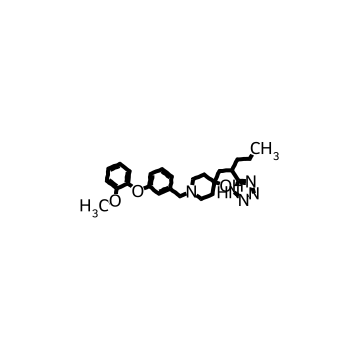 CCCC(CC1(O)CCN(Cc2cccc(Oc3ccccc3OC)c2)CC1)c1nnn[nH]1